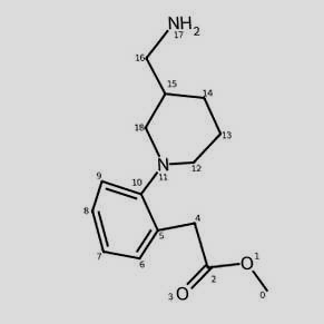 COC(=O)Cc1ccccc1N1CCCC(CN)C1